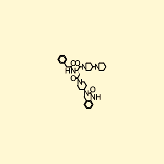 O=C(Cc1ccccc1)N[C@@H](CC(=O)N1CCC(N2Cc3ccccc3NC2=O)CC1)C(=O)N1CCC(N2CCCCC2)CC1